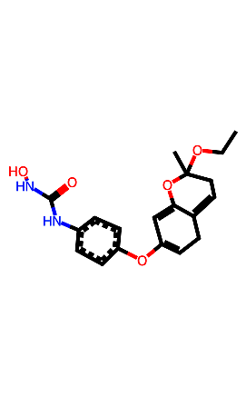 CCOC1(C)CC=C2CC=C(Oc3ccc(NC(=O)NO)cc3)C=C2O1